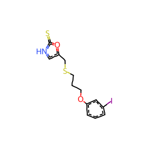 S=c1[nH]cc(CSCCCOc2cccc(I)c2)o1